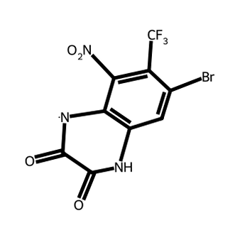 O=C1[N]c2c(cc(Br)c(C(F)(F)F)c2[N+](=O)[O-])NC1=O